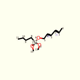 C/C=C/C=C/CO[Si](CCCC)(OC)OC